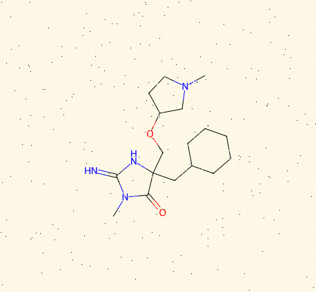 CN1CCC(OCC2(CC3CCCCC3)NC(=N)N(C)C2=O)C1